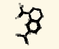 O=C(O)N1CCCc2ccc([N+](=O)[O-])cc21